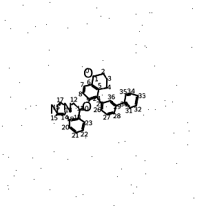 O=C1CCCc2c1ccc(O[C@H](Cn1ccnc1)c1ccccc1)c2-c1cccc(-c2ccccc2)c1